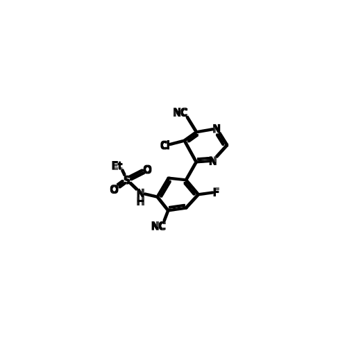 CCS(=O)(=O)Nc1cc(-c2ncnc(C#N)c2Cl)c(F)cc1C#N